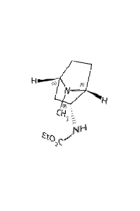 CCOC(=O)N[C@@H]1C[C@@H]2CC[C@H]1N2C